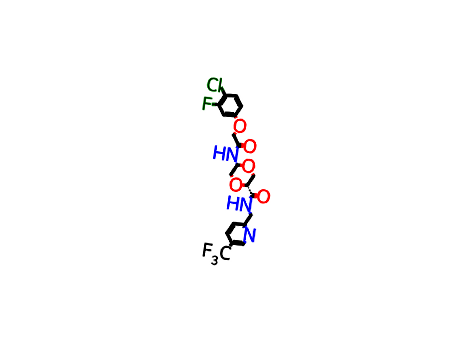 O=C(COc1ccc(Cl)c(F)c1)N[C@H]1CO[C@@H](C(=O)NCc2ccc(C(F)(F)F)cn2)CO1